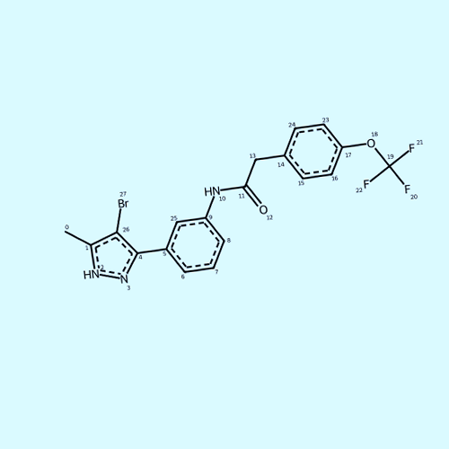 Cc1[nH]nc(-c2cccc(NC(=O)Cc3ccc(OC(F)(F)F)cc3)c2)c1Br